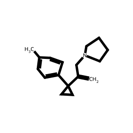 C=C(CN1CCCC1)C1(c2ccc(C)cc2)CC1